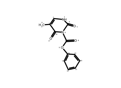 Cc1c[nH]c(=O)n(C(=O)Oc2ccccc2)c1=O